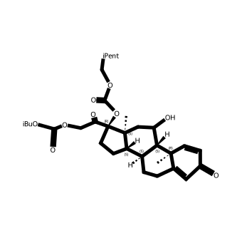 CCCC(C)COC(=O)O[C@]1(C(=O)COC(=O)OCC(C)C)CC[C@H]2[C@@H]3CCC4=CC(=O)C=C[C@]4(C)[C@H]3C(O)C[C@@]21C